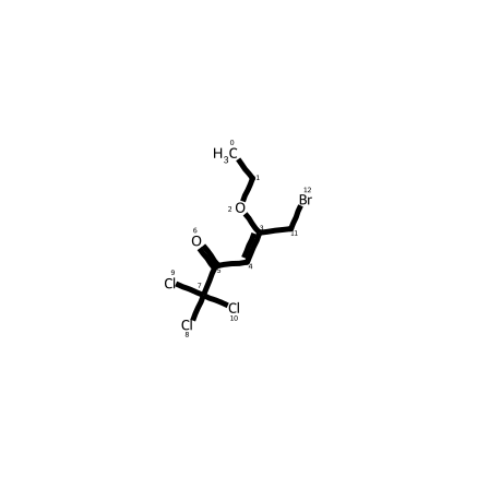 CCO/C(=C\C(=O)C(Cl)(Cl)Cl)CBr